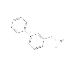 O=[SH](=O)Cc1cccc(-c2cc[c]cc2)c1